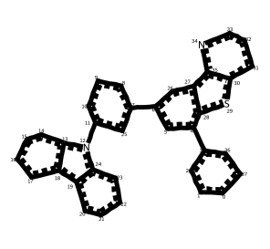 c1ccc(-c2cc(-c3cccc(-n4c5ccccc5c5ccccc54)c3)cc3c2sc2cccnc23)cc1